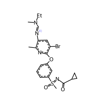 CCN(C)/C=N/c1cc(Br)c(Oc2cccc(S(C)(=O)=NC(=O)C3CC3)c2)nc1C